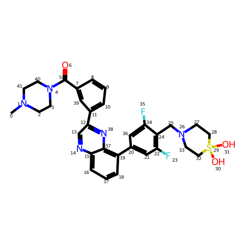 CN1CCN(C(=O)c2cccc(-c3cnc4cccc(-c5cc(F)c(CN6CCS(O)(O)CC6)c(F)c5)c4n3)c2)CC1